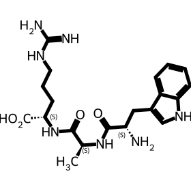 C[C@H](NC(=O)[C@@H](N)Cc1c[nH]c2ccccc12)C(=O)N[C@@H](CCCNC(=N)N)C(=O)O